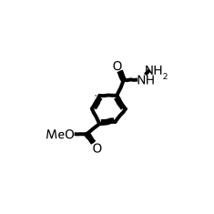 COC(=O)c1c[c]c(C(=O)NN)cc1